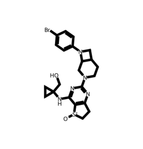 [O-][S+]1CCc2nc(N3CCC4CN(c5ccc(Br)cc5)C4C3)nc(NC3(CO)CC3)c21